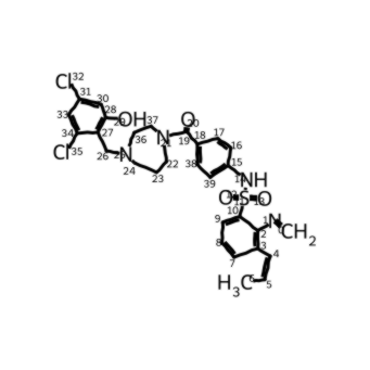 C=Nc1c(/C=C\C)cccc1S(=O)(=O)Nc1ccc(C(=O)N2CCCN(Cc3c(O)cc(Cl)cc3Cl)CC2)cc1